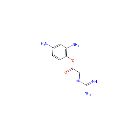 N=C(N)NCC(=O)Oc1ccc(N)cc1N